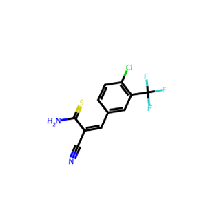 N#CC(=Cc1ccc(Cl)c(C(F)(F)F)c1)C(N)=S